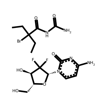 CCC(Br)(CC)C(=O)NC(N)=O.Nc1ccn([C@@H]2O[C@H](CO)[C@@H](O)C2(F)F)c(=O)n1